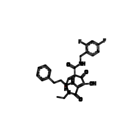 CCN1C/C=C(/C(=O)NCc2ccc(F)cc2F)C(=O)/C(O)=C(\NNCCc2ccccc2)C1=O